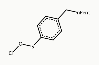 CCCCCCc1ccc(SOCl)cc1